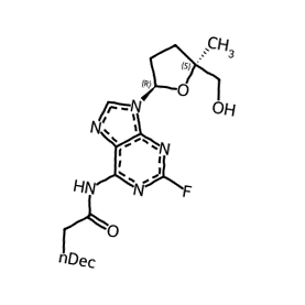 CCCCCCCCCCCC(=O)Nc1nc(F)nc2c1ncn2[C@H]1CC[C@@](C)(CO)O1